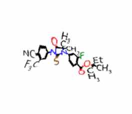 CCC(C)(C)OC(=O)c1ccc(N2C(=S)N(c3ccc(C#N)c(C(F)(F)F)c3)C(=O)C2(C)C)cc1F